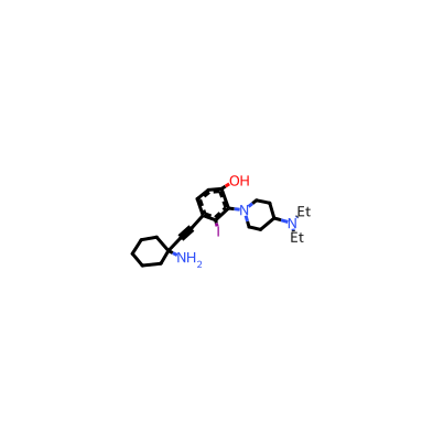 CCN(CC)C1CCN(c2c(O)ccc(C#CC3(N)CCCCC3)c2I)CC1